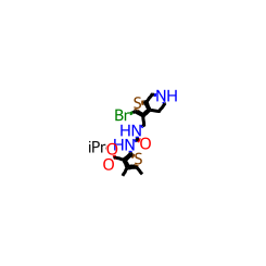 Cc1sc(NC(=O)NCc2c(Br)sc3c2CCNC3)c(C(=O)OC(C)C)c1C